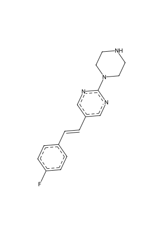 Fc1ccc(C=Cc2cnc(N3CCNCC3)nc2)cc1